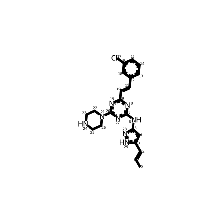 C/C=C/c1cc(Nc2nc(/C=C/c3cccc(Cl)c3)nc(N3CCNCC3)n2)n[nH]1